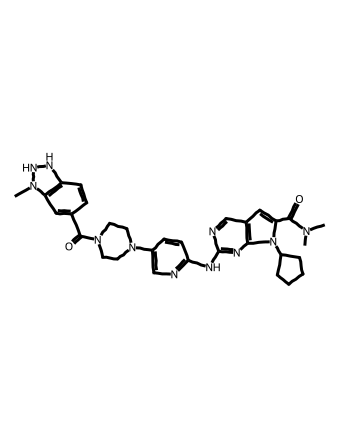 CN(C)C(=O)c1cc2cnc(Nc3ccc(N4CCN(C(=O)c5ccc6c(c5)N(C)NN6)CC4)cn3)nc2n1C1CCCC1